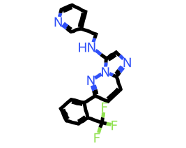 FC(F)(F)c1ccccc1-c1ccc2ncc(NCc3cccnc3)n2n1